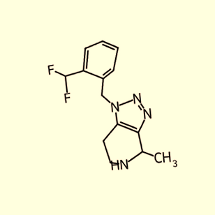 CC1NCCc2c1nnn2Cc1ccccc1C(F)F